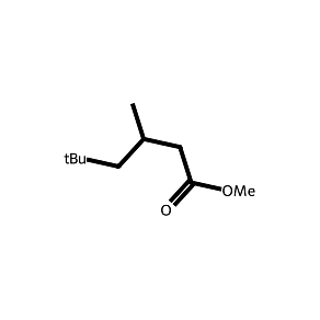 COC(=O)CC(C)CC(C)(C)C